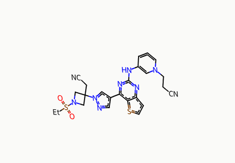 CCS(=O)(=O)N1CC(CC#N)(n2cc(-c3nc(NC4=CN(CCC#N)C=C=C4)nc4ccsc34)cn2)C1